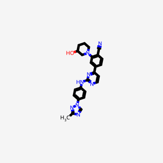 Cc1ncn(-c2ccc(Nc3nccc(-c4ccc(C#N)c(N5CCCC(O)C5)c4)n3)cc2)n1